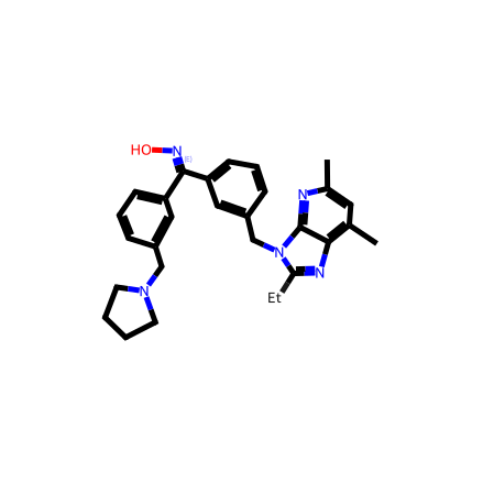 CCc1nc2c(C)cc(C)nc2n1Cc1cccc(/C(=N/O)c2cccc(CN3CCCC3)c2)c1